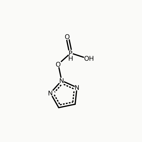 O=[PH](O)On1nccn1